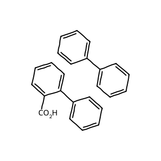 O=C(O)c1ccccc1-c1ccccc1.c1ccc(-c2ccccc2)cc1